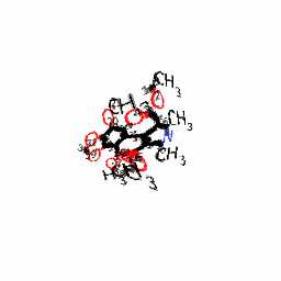 CCOC(=O)c1c(C)nc(C)c(C(=O)OC)c1-c1cc(OC)c2c(c1C(=O)OC)OCO2